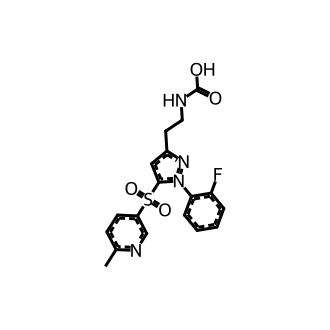 Cc1ccc(S(=O)(=O)c2cc(CCNC(=O)O)nn2-c2ccccc2F)cn1